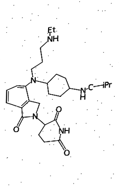 CCNCCCN(c1cccc2c1CN(C1CCC(=O)NC1=O)C2=O)C1CCC(NCC(C)C)CC1